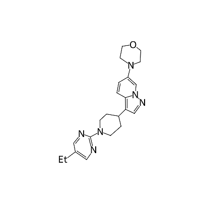 CCc1cnc(N2CCC(c3cnn4cc(N5CCOCC5)ccc34)CC2)nc1